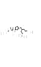 CCCCC(CC(=O)NO)C(=O)N1CCC(NC(=O)OC(C)(C)C)C1